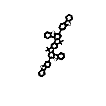 CC1(C)c2cc3c(cc2-c2c1cc(-c1ccc4c(c1)oc1ccccc14)c1oc4ccccc4c21)C(C)(C)c1cc(-c2ccc4c(c2)oc2ccccc24)c2oc4ccccc4c2c1-3